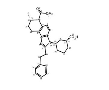 COC(=O)N1c2ccc3c(nc(CCc4ccccc4)n3[C@@H]3CCC[C@H](C(=O)O)C3)c2CC[C@@H]1C